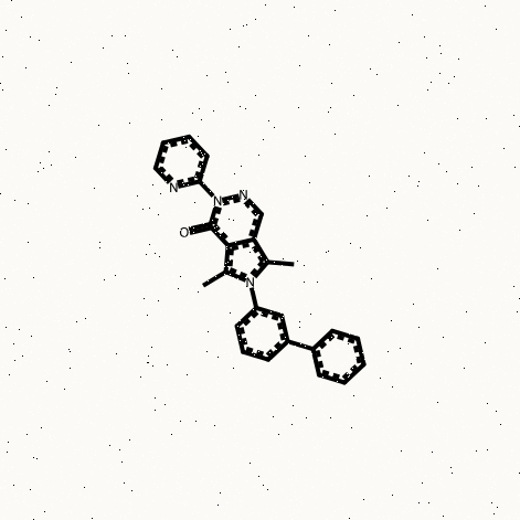 Cc1c2cnn(-c3ccccn3)c(=O)c2c(C)n1-c1cccc(-c2ccccc2)c1